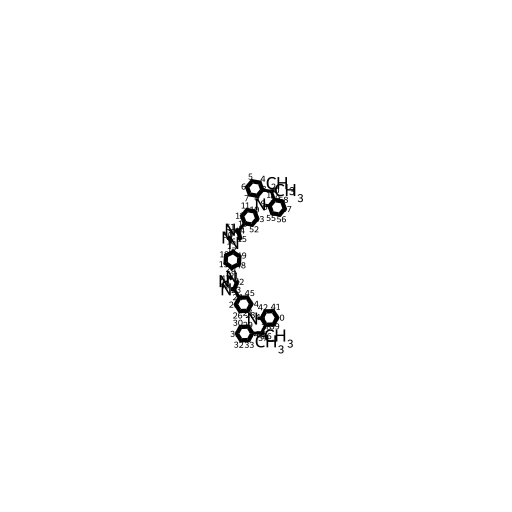 CC1(C)c2ccccc2N(c2ccc(-c3cn(-c4ccc(-n5cc(-c6ccc(N7c8ccccc8C(C)(C)c8ccccc87)cc6)nn5)cc4)nn3)cc2)c2ccccc21